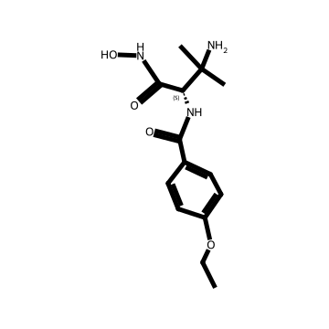 CCOc1ccc(C(=O)N[C@H](C(=O)NO)C(C)(C)N)cc1